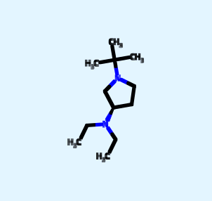 CCN(CC)[C@@H]1CCN(C(C)(C)C)C1